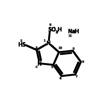 O=S(=O)(O)n1c(S)nc2ccccc21.[NaH]